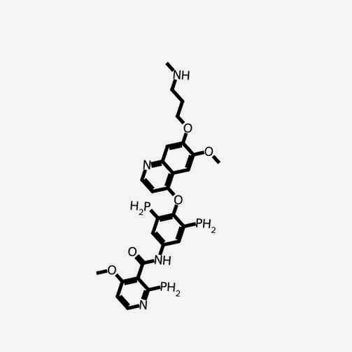 CNCCCOc1cc2nccc(Oc3c(P)cc(NC(=O)c4c(OC)ccnc4P)cc3P)c2cc1OC